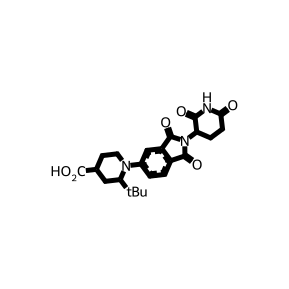 CC(C)(C)C1CC(C(=O)O)CCN1c1ccc2c(c1)C(=O)N(C1CCC(=O)NC1=O)C2=O